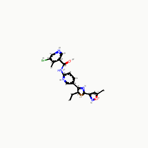 CCc1sc(-c2cc(C)on2)nc1-c1ccc(NC(=O)c2cncc(Br)c2C)nc1